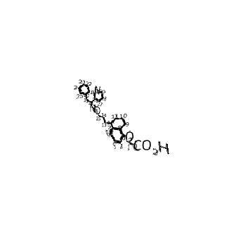 O=C(O)COc1cccc2c1CCCC2C=CCON=C(Cc1ccccc1)c1cccnc1